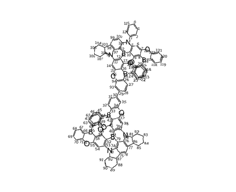 c1ccc(N2c3cc4c5c(c3B3c6c(cc7c8c6Oc6ccccc6B8c6ccc(-c8ccc9c(c8)Oc8cc%10c(c%11c8B9c8ccccc8O%11)B8c9c(cc%11c%12c9Oc9ccccc9B%12c9ccccc9O%11)N9c%11c(cc%12c(c%118)N%10C8CCCCC%128)C8CCCCC89)cc6O7)N6c7c(ccc2c73)C2CCCCC26)Oc2ccccc2B5c2ccccc2O4)cc1